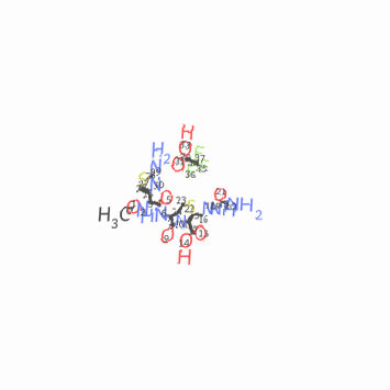 CON=C(C(=O)NC1C(=O)N2C(C(=O)O)=C(C=NNC(N)=O)SCC12)c1csc(N)n1.O=C(O)C(F)(F)F